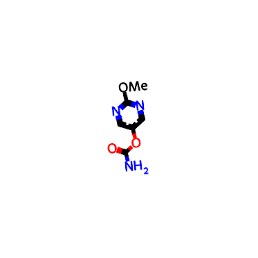 COc1ncc(OC(N)=O)cn1